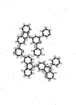 c1ccc(-c2cc(-n3c4ccccc4c4ccc(-c5cncc(-c6ccc7c(c6)c6ccccc6n7-c6ccc7c(c6)c6ncccc6n7-c6ccccc6)n5)cc43)cc(-c3ccccc3)n2)cc1